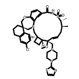 CO[C@@]1(CN2CCN(c3nccs3)CC2)/C=C/C[C@H](C)[C@@H](C)S(=O)(=O)NC(=O)c2ccc3c(c2)N(C[C@@H]2CC[C@H]21)C[C@@]1(CCCc2cc(Cl)ccc21)CO3